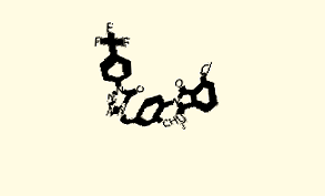 Cc1cc(Cn2nnn(-c3ccc(C(F)(F)F)cc3)c2=O)ccc1N1C(=O)c2cccc(Cl)c2C1=O